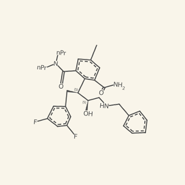 CCCN(CCC)C(=O)c1cc(C)cc(C(N)=O)c1[C@H](Cc1cc(F)cc(F)c1)[C@H](O)CNCc1ccccc1